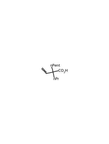 C=CC(CCC)(CCCCC)C(=O)O